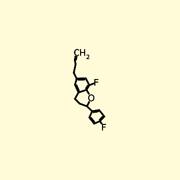 C=CCCc1cc(F)c2c(c1)CCC(c1ccc(F)cc1)O2